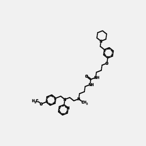 COc1ccc(CN(CCN(C)CCCNC(=O)NCCCOc2cccc(CN3CCCCC3)c2)c2ccccn2)cc1